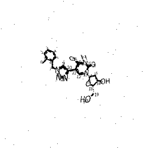 Cc1ccccc1Cn1cc(-c2cn([C@@H]3CC(O)[C@H](CO)O3)c(=O)[nH]c2=O)nn1